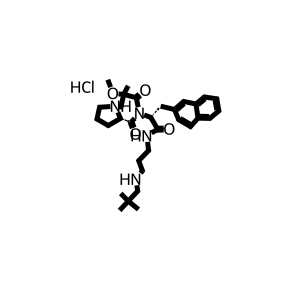 COC(C)(C)C(=O)N(C(=O)[C@@H]1CCCN1)[C@H](Cc1ccc2ccccc2c1)C(=O)NCCCNCC(C)(C)C.Cl